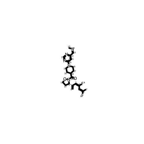 C=C(/C=C(F)\C=C(/C)F)[C@@H]1CCON1C(=O)C1CCN(c2cc(/C=N\C)ncn2)CC1